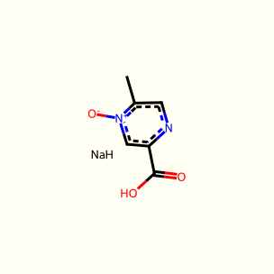 Cc1cnc(C(=O)O)c[n+]1[O-].[NaH]